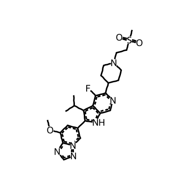 COc1cc(-c2[nH]c3cnc(C4CCN(CCS(C)(=O)=O)CC4)c(F)c3c2C(C)C)cn2ncnc12